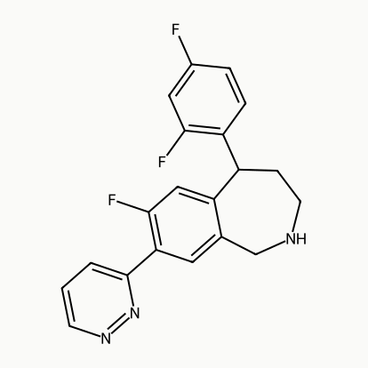 Fc1ccc(C2CCNCc3cc(-c4cccnn4)c(F)cc32)c(F)c1